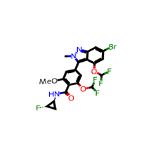 COc1cc(-c2c3c(OC(F)F)cc(Br)cc3nn2C)cc(OC(F)F)c1C(=O)N[C@@H]1C[C@@H]1F